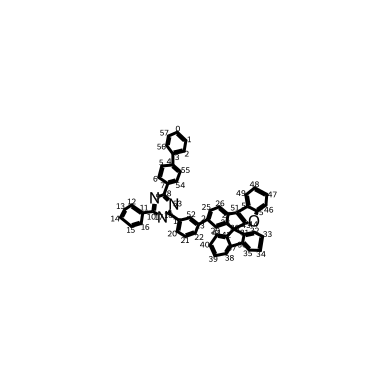 c1ccc(-c2ccc(-c3nc(-c4ccccc4)nc(-c4cccc(-c5ccc6c(c5)C5(c7ccccc7-c7ccccc75)c5oc7ccccc7c5-6)c4)n3)cc2)cc1